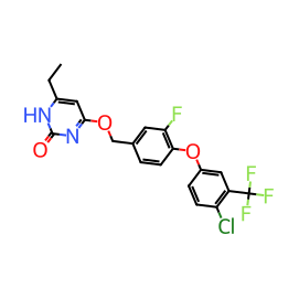 CCc1cc(OCc2ccc(Oc3ccc(Cl)c(C(F)(F)F)c3)c(F)c2)nc(=O)[nH]1